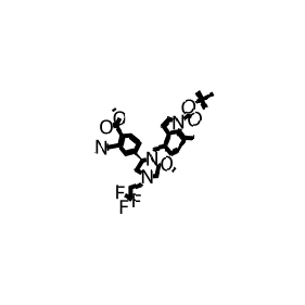 COC(=O)c1ccc([C@@H]2CN(CCC(F)(F)F)CCN2Cc2c(OC)cc(C)c3c2ccn3C(=O)OC(C)(C)C)cc1C#N